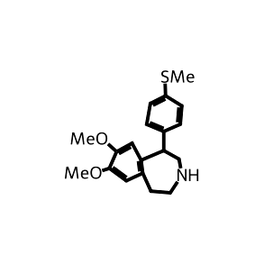 COc1cc2c(cc1OC)C(c1ccc(SC)cc1)CNCC2